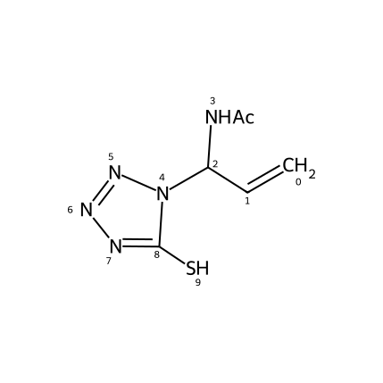 C=CC(NC(C)=O)n1nnnc1S